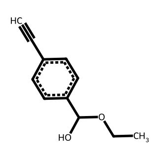 C#Cc1ccc(C(O)OCC)cc1